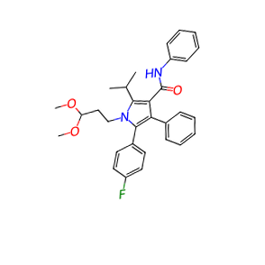 COC(CCn1c(-c2ccc(F)cc2)c(-c2ccccc2)c(C(=O)Nc2ccccc2)c1C(C)C)OC